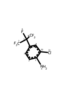 Nc1ccc(C(F)(C(F)(F)F)C(F)(F)F)cc1Cl